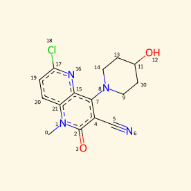 Cn1c(=O)c(C#N)c(N2CCC(O)CC2)c2nc(Cl)ccc21